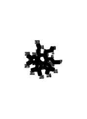 C=CCC1=C(CC=C)C(CC=C)(CC=C)C(CC=C)(CC=C)C(CC=C)(CC=C)C1CC=C